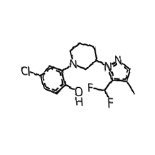 Cc1cnn(C2CCCN(c3cc(Cl)ccc3O)C2)c1C(F)F